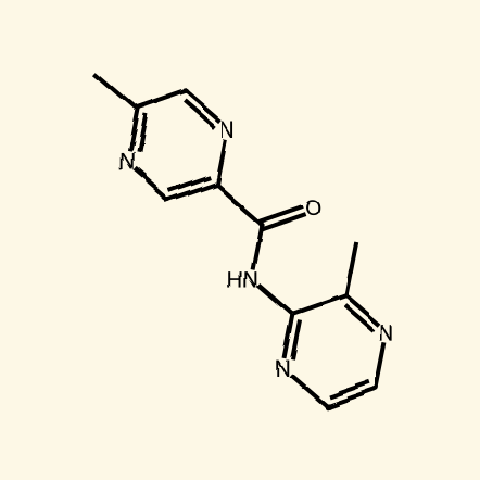 Cc1cnc(C(=O)Nc2nccnc2C)cn1